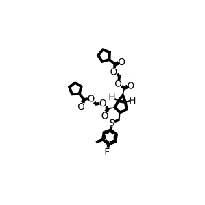 Cc1cc(SC[C@@H]2C[C@H]3[C@H](C(=O)OCOC(=O)C4CCCC4)[C@H]3[C@@H]2C(=O)OCOC(=O)C2CCCC2)ccc1F